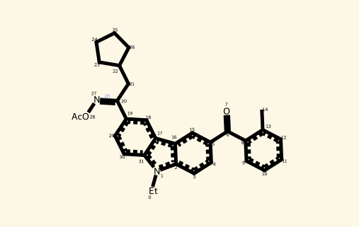 CCn1c2ccc(C(=O)c3ccccc3C)cc2c2cc(/C(CC3CCCC3)=N\OC(C)=O)ccc21